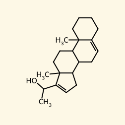 CC(O)C1=CCC2C3CC=C4CCCCC4(C)C3CCC12C